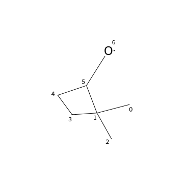 CC1(C)CCC1[O]